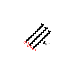 CC(C)CCCCCCCCCCCCCCC(=O)[O-].CC(C)CCCCCCCCCCCCCCC(=O)[O-].CC(C)CCCCCCCCCCCCCCC(=O)[O-].C[CH](C)[Ti+3]